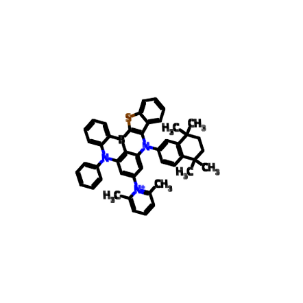 Cc1cccc(C)[n+]1-c1cc2c3c(c1)N(c1ccc4c(c1)C(C)(C)CCC4(C)C)c1c(sc4ccccc14)B3c1ccccc1N2c1ccccc1